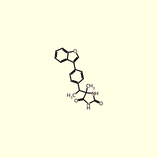 CC(c1ccc(-c2coc3ccccc23)cc1)C1(C)NC(=O)NC1=O